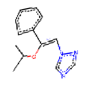 CC(C)O/C(=C\n1cncn1)c1ccccc1